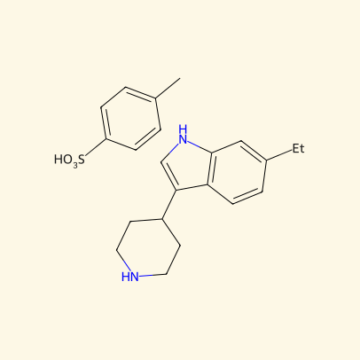 CCc1ccc2c(C3CCNCC3)c[nH]c2c1.Cc1ccc(S(=O)(=O)O)cc1